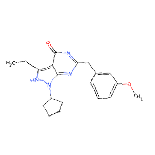 CCc1[nH]n(C2CCCC2)c2nc(Cc3cccc(OC)c3)nc(=O)c1-2